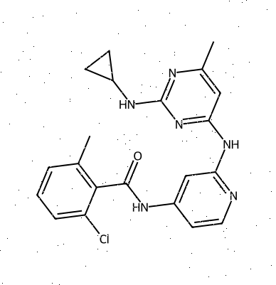 Cc1cc(Nc2cc(NC(=O)c3c(C)cccc3Cl)ccn2)nc(NC2CC2)n1